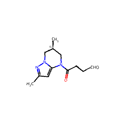 Cc1cc2n(n1)C[C@@H](C)CN2C(=O)CCC=O